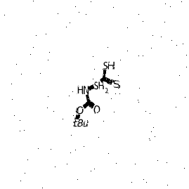 CC(C)(C)OC(=O)N[SH2]C(=S)S